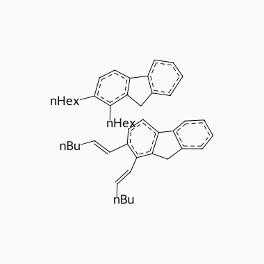 CCCCC=Cc1ccc2c(c1C=CCCCC)Cc1ccccc1-2.CCCCCCc1ccc2c(c1CCCCCC)Cc1ccccc1-2